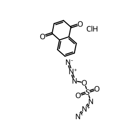 Cl.O=C1C=CC(=O)c2ccccc21.[N-]=[N+]=NOS(=O)(=O)N=[N+]=[N-]